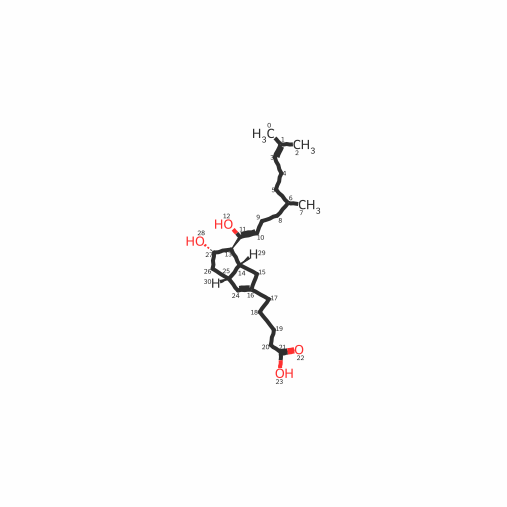 CC(C)=CCCC(C)CCC=C(O)[C@H]1[C@@H]2CC(CCCCC(=O)O)=C[C@@H]2C[C@@H]1O